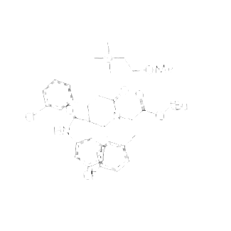 COCC[Si](C)(C)C.Cc1ccc(F)cc1[C@H]1N(CC(=O)OC(C)(C)C)C(=O)C[C@@H](c2cccc(Cl)c2)[C@]12C(=O)Nc1cc(Cl)ccc12